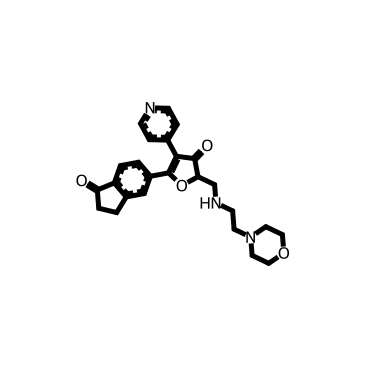 O=C1CCc2cc(C3=C(c4ccncc4)C(=O)C(CNCCN4CCOCC4)O3)ccc21